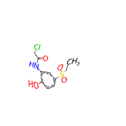 CCS(=O)(=O)c1ccc(O)c(NC(=O)CCl)c1